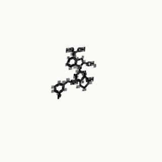 CC1Cc2c(B(O)O)cccc2N1c1nc2c(c(NCc3cccc(F)c3)n1)CCCN2